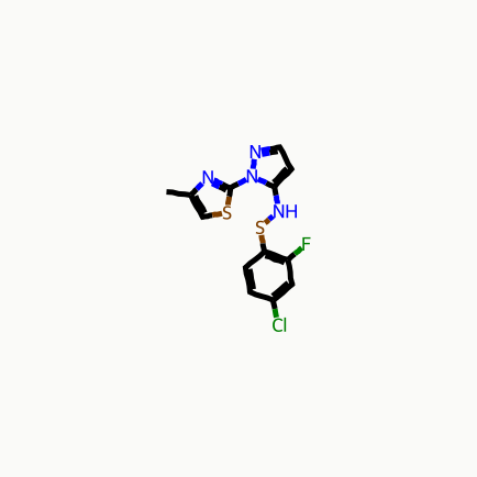 Cc1csc(-n2nccc2NSc2ccc(Cl)cc2F)n1